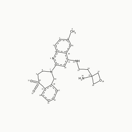 Cc1ccc2nc(N3CCS(=O)(=O)c4ccccc4C3)cc(NCCC3(N)COC3)c2c1